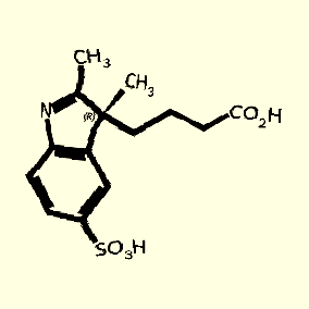 CC1=Nc2ccc(S(=O)(=O)O)cc2[C@@]1(C)CCCC(=O)O